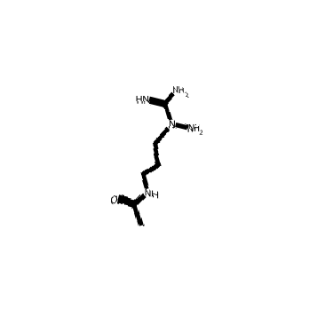 CC(=O)NCCCN(N)C(=N)N